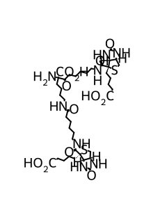 N[C@@](CCCCNC(=O)CCCCCNC(=O)[C@@]1(CCCCC(=O)O)SC[C@@H]2NC(=O)N[C@@H]21)(C(=O)O)C(=O)CCCCCNC(=O)[C@@]1(CCCCC(=O)O)SC[C@@H]2NC(=O)N[C@@H]21